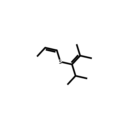 C/C=C\SC(=C(C)C)C(C)C